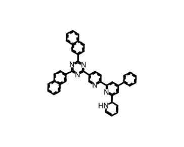 C1=CNC(c2cc(-c3ccccc3)cc(-c3ccc(-c4nc(-c5ccc6ccccc6c5)nc(-c5ccc6ccccc6c5)n4)cn3)n2)C=C1